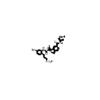 C[C@H]1[C@@H](C(=O)Nc2cc(C#N)ccc2CCCC(=O)O)[C@@]12CCc1ccc(C(=O)Nc3cnn(C)c3)cc12